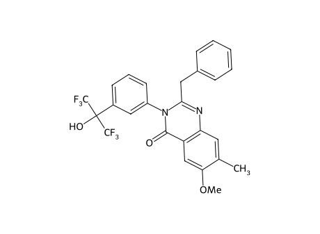 COc1cc2c(=O)n(-c3cccc(C(O)(C(F)(F)F)C(F)(F)F)c3)c(Cc3ccccc3)nc2cc1C